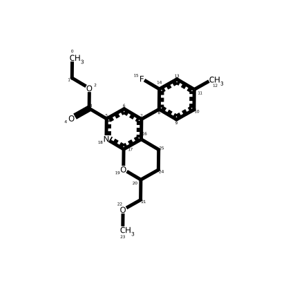 CCOC(=O)c1cc(-c2ccc(C)cc2F)c2c(n1)OC(COC)CC2